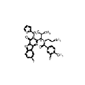 Cc1ccc(C(=O)N(CCN)[C@@H](c2nc3c(oc4ccc(F)cc43)c(=O)n2Cc2cccs2)C(C)C)cc1F